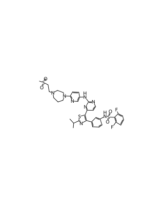 CC(C)c1nc(-c2cccc(NS(=O)(=O)c3c(F)cccc3F)c2)c(-c2ccnc(Nc3ccc(N4CCCN(CCS(C)(=O)=O)CC4)nc3)n2)s1